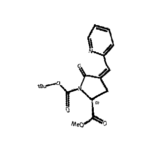 COC(=O)[C@@H]1CC(=Cc2ccccn2)C(=O)N1C(=O)OC(C)(C)C